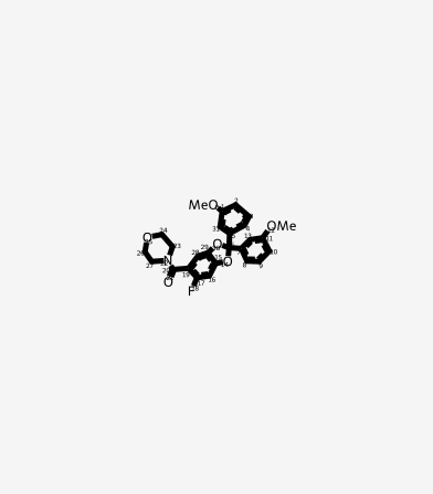 COc1cccc(C2(c3cccc(OC)c3)Oc3cc(F)c(C(=O)N4CCOCC4)cc3O2)c1